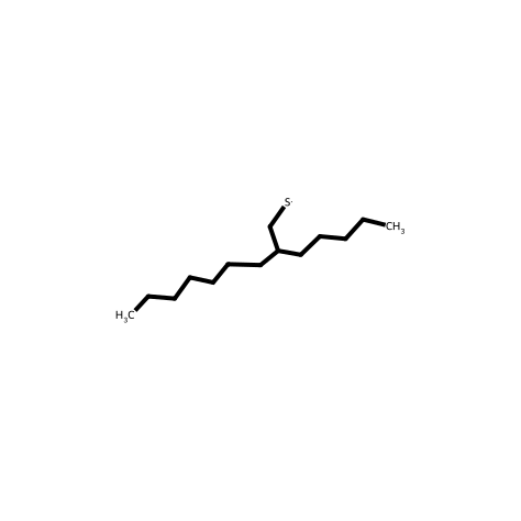 CCCCCCCC(C[S])CCCCC